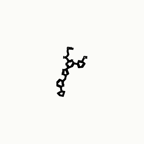 COCCNc1nc(-c2cccc(C#N)c2)cc(-c2cn(Cc3cccc(N4CCCC4)n3)nn2)n1